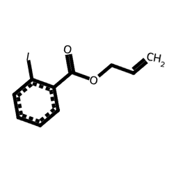 C=CCOC(=O)c1ccccc1I